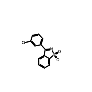 O=S1(=O)N=C(c2cccc(Cl)c2)c2ccccc21